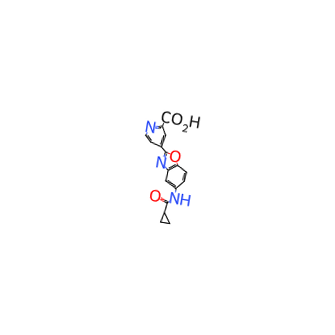 O=C(O)c1cc(-c2nc3cc(NC(=O)C4CC4)ccc3o2)ccn1